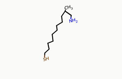 CC(CN)CCCCCCCCCS